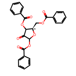 O=C(OC[C@H]1OC(OC(=O)c2ccccc2)C(=O)C1OC(=O)c1ccccc1)c1ccccc1